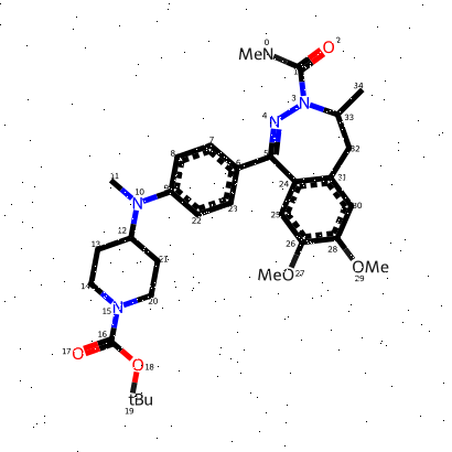 CNC(=O)N1N=C(c2ccc(N(C)C3CCN(C(=O)OC(C)(C)C)CC3)cc2)c2cc(OC)c(OC)cc2CC1C